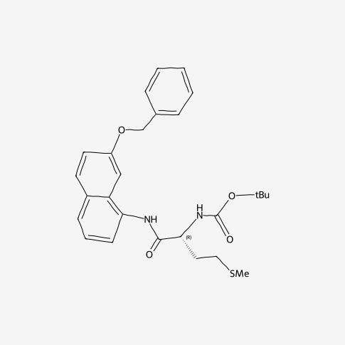 CSCC[C@@H](NC(=O)OC(C)(C)C)C(=O)Nc1cccc2ccc(OCc3ccccc3)cc12